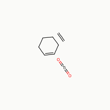 C1=CCCCC1.C=C.[O]=[Ti]=[O]